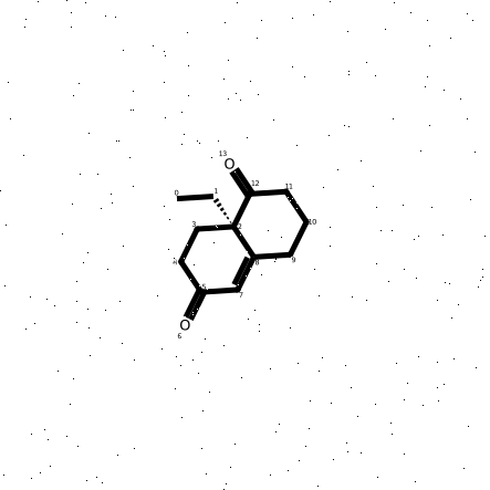 CC[C@@]12CCC(=O)C=C1CCCC2=O